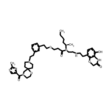 CCCC[C@@H](C)N(CCNCCc1ccc(O)c2c1OCC(=O)N2)C(=O)CCOCCc1cccc(CCN2CCC3(CC2)CN(C(=O)c2csc(C)n2)CCO3)c1